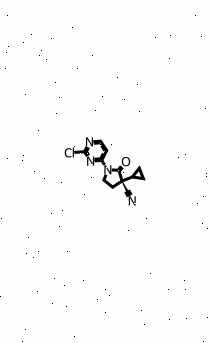 N#C[C@@]1(C2CC2)CCN(c2ccnc(Cl)n2)C1=O